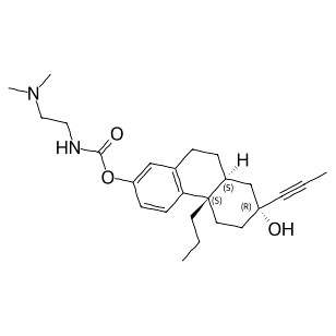 CC#C[C@@]1(O)CC[C@]2(CCC)c3ccc(OC(=O)NCCN(C)C)cc3CC[C@H]2C1